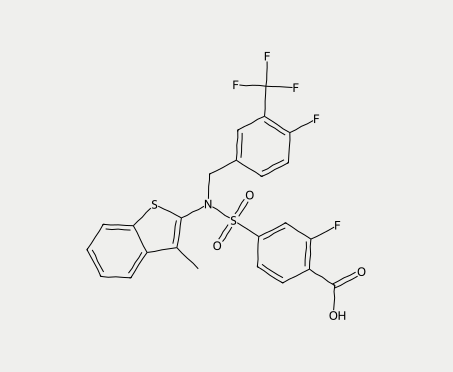 Cc1c(N(Cc2ccc(F)c(C(F)(F)F)c2)S(=O)(=O)c2ccc(C(=O)O)c(F)c2)sc2ccccc12